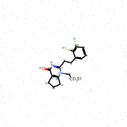 CCOC(=O)Cn1c(CCc2cccc(F)c2F)nc(=O)c2c1CCC2